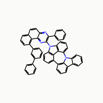 c1ccc(-c2cccc(-c3cccc4ccc5nc(-c6ccccc6)c(-n6c7cccc8c9cccc%10c%11ccccc%11n(c%11cccc6c%11c87)c9%10)nc5c34)c2)cc1